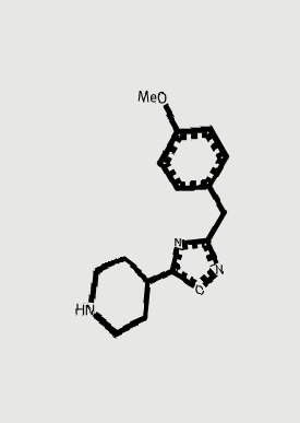 COc1ccc(Cc2noc(C3CCNCC3)n2)cc1